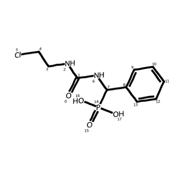 O=C(NCCCl)NC(c1ccccc1)P(=O)(O)O